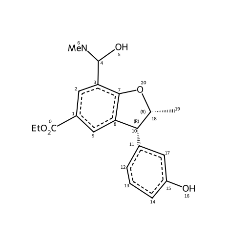 CCOC(=O)c1cc(C(O)NC)c2c(c1)[C@@H](c1cccc(O)c1)[C@@H](C)O2